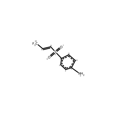 Nc1ccc(S(=O)(=O)C=CC(F)(F)F)cc1